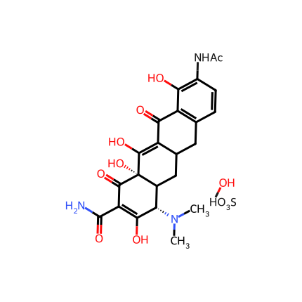 CC(=O)Nc1ccc2c(c1O)C(=O)C1=C(O)[C@]3(O)C(=O)C(C(N)=O)=C(O)[C@@H](N(C)C)C3CC1C2.O=S(=O)(O)O